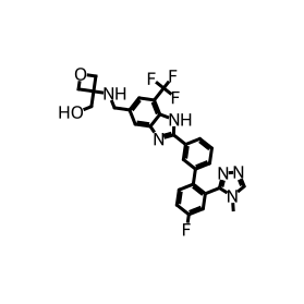 Cn1cnnc1-c1cc(F)ccc1-c1cccc(-c2nc3cc(CNC4(CO)COC4)cc(C(F)(F)F)c3[nH]2)c1